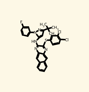 CC(C)(C)c1cc(Nc2nc3cc4ccccc4cc3nc2Sc2ccc(Cl)c(Cl)c2)n(-c2cccc(F)c2)n1